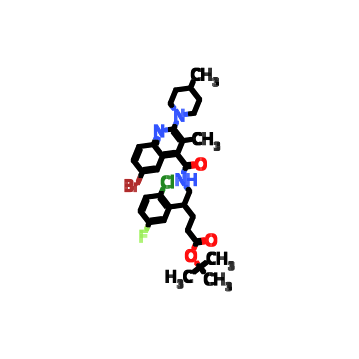 Cc1c(N2CCC(C)CC2)nc2ccc(Br)cc2c1C(=O)NCC(CCC(=O)OC(C)(C)C)c1cc(F)ccc1Cl